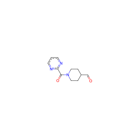 O=CC1CCN(C(=O)c2ncccn2)CC1